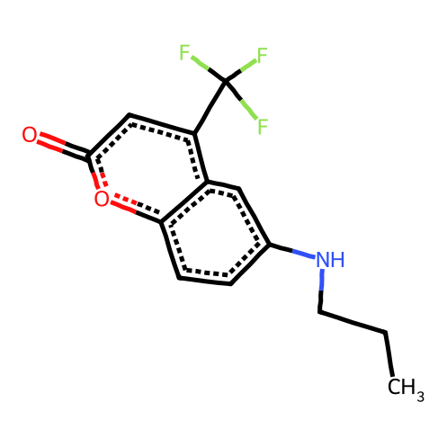 CCCNc1ccc2oc(=O)cc(C(F)(F)F)c2c1